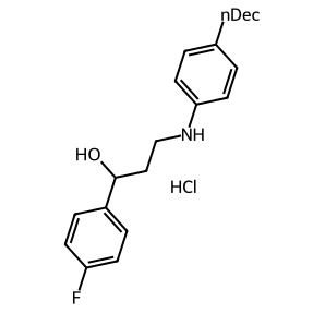 CCCCCCCCCCc1ccc(NCCC(O)c2ccc(F)cc2)cc1.Cl